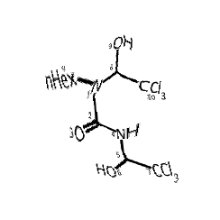 CCCCCCN(C(=O)NC(O)C(Cl)(Cl)Cl)C(O)C(Cl)(Cl)Cl